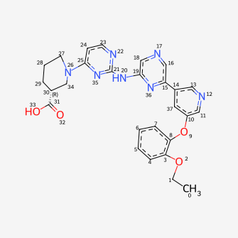 CCOc1ccccc1Oc1cncc(-c2cncc(Nc3nccc(N4CCC[C@@H](C(=O)O)C4)n3)n2)c1